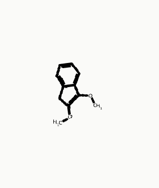 COC1=C(OC)c2c[c]ccc2C1